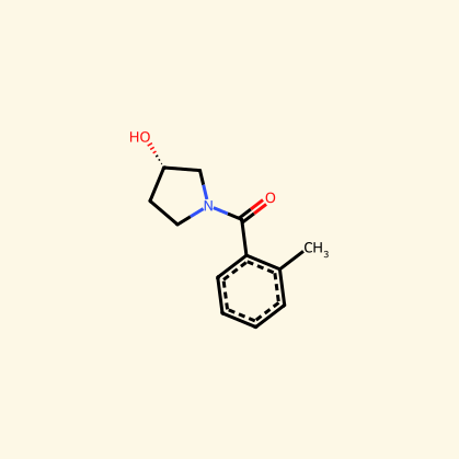 Cc1ccccc1C(=O)N1CC[C@H](O)C1